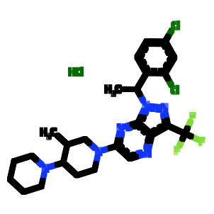 CC1CN(c2cnc3c(C(F)(F)F)nn(C(C)c4ccc(Cl)cc4Cl)c3n2)CCC1N1CCCCC1.Cl